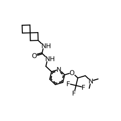 CN(C)CC(Oc1cccc(CNC(=O)NC2CC3(CCC3)C2)n1)C(F)(F)F